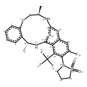 C[C@@H]1COc2ccccc2[C@@H](C)Nc2nc(nc3cc(F)c(N4CCCS4(=O)=O)c(C(F)(F)F)c23)N1